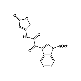 CCCCCCCCn1cc(C(=O)C(=O)NC2=CC(=O)OC2)c2ccccc21